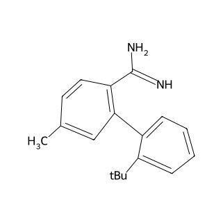 Cc1ccc(C(=N)N)c(-c2ccccc2C(C)(C)C)c1